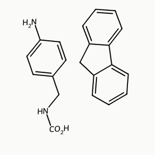 Nc1ccc(CNC(=O)O)cc1.c1ccc2c(c1)Cc1ccccc1-2